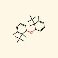 CC1=CC=CC(OC2C=CC=C(C)C2(C)C(C)(C)C)C1(C)C(C)(C)C